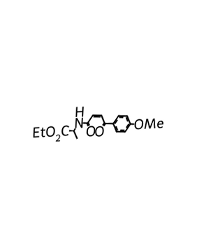 CCOC(=O)[C@H](C)NC(=O)/C=C\C(=O)c1ccc(OC)cc1